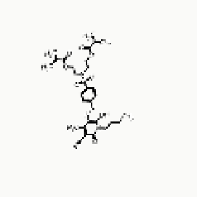 C=C(C)C(=O)OCCN(CCOC(=O)C(=C)C)S(=O)(=O)c1ccc(N=Nc2c(C)c(C#N)c(=O)n(CCCC)c2O)cc1